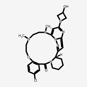 CN1CCOc2ccc(Cl)cc2C(=O)N2CCCC[C@H]2c2cc3nc(N4CC(O)C4)cc(n3n2)N(C)CC1